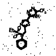 CCS(=O)(=O)N(Cc1ncc(-c2nnc(C(F)(F)F)[nH]2)s1)c1ccccc1